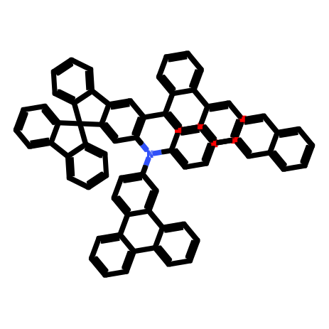 c1ccc2c(c1)-c1ccccc1C21c2ccccc2-c2cc(-c3cc4ccccc4c4ccccc34)c(N(c3ccc(-c4ccc5ccccc5c4)cc3)c3ccc4c5ccccc5c5ccccc5c4c3)cc21